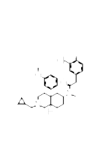 COc1cccc([C@@]23CCN(CC4CC4)C[C@H]2CC[C@H](N(C)C(=O)Cc2ccc(Cl)c(Cl)c2)C3)c1